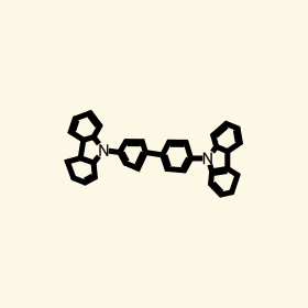 C1=CC2C3=C(C=CCC3)N(c3ccc(-c4ccc(N5C6C=CC=CC6C6CCC=CC65)cc4)cc3)C2C=C1